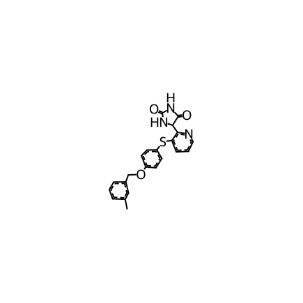 Cc1cccc(COc2ccc(Sc3cccnc3C3NC(=O)NC3=O)cc2)c1